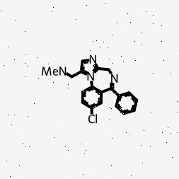 CNCc1cnc2n1-c1ccc(Cl)cc1C(c1ccccc1)=NC2